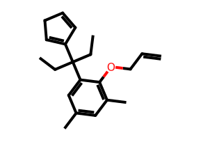 C=CCOc1c(C)cc(C)cc1C(CC)(CC)C1=CCC=C1